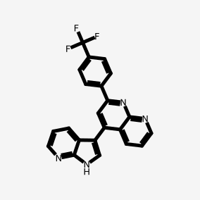 FC(F)(F)c1ccc(-c2cc(-c3c[nH]c4ncccc34)c3cccnc3n2)cc1